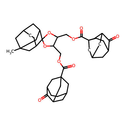 CC12CC3CCC(C1)C1(OC(COC(=O)C45CCC6CC(CC(C4)C6=O)C5)C(COC(=O)C45CC6CCC(C4)C(=O)C(C6)C5)O1)C(C3)C2